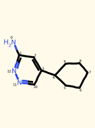 Nc1cc(C2CCCCC2)cnn1